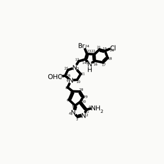 Nc1ncnc2cc(CN3CCN(Cc4[nH]c5ccc(Cl)cc5c4Br)CC3C=O)ccc12